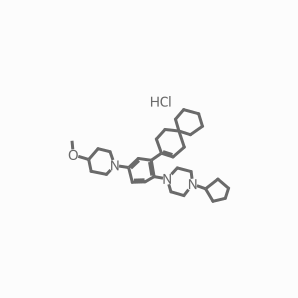 COC1CCN(c2ccc(N3CCN(C4CCCC4)CC3)c(C3=CCC4(CCCCC4)CC3)c2)CC1.Cl